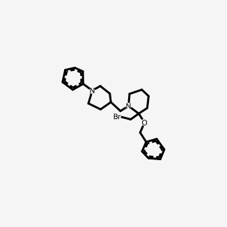 BrCC1(OCc2ccccc2)CCCCN1CC1CCN(c2ccccc2)CC1